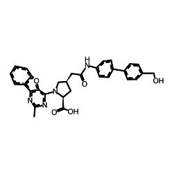 Cc1nc(N2C[C@@H](CC(=O)Nc3ccc(-c4ccc(CO)cc4)cc3)C[C@H]2C(=O)O)c2oc3ccccc3c2n1